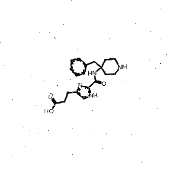 O=C(O)CCc1c[nH]c(C(=O)NC2(Cc3ccccc3)CCNCC2)n1